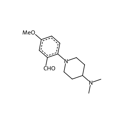 COc1ccc(N2CCC(N(C)C)CC2)c(C=O)c1